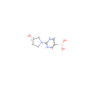 OB(O)c1cnc(N2CC[C@H](O)C2)nc1